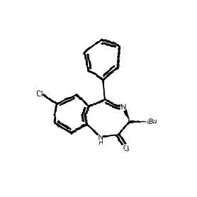 CC[C@H](C)[C@@H]1N=C(c2ccccc2)c2cc(Cl)ccc2NC1=O